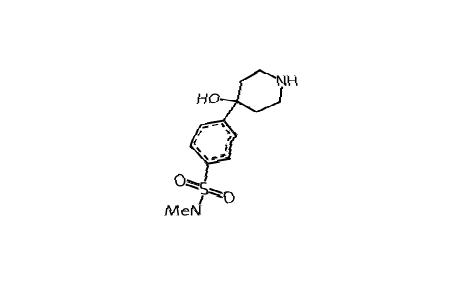 CNS(=O)(=O)c1ccc(C2(O)CCNCC2)cc1